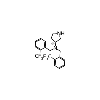 FC(F)(F)c1ccccc1CN(Cc1ccccc1C(F)(F)F)[C@H]1CCNC1